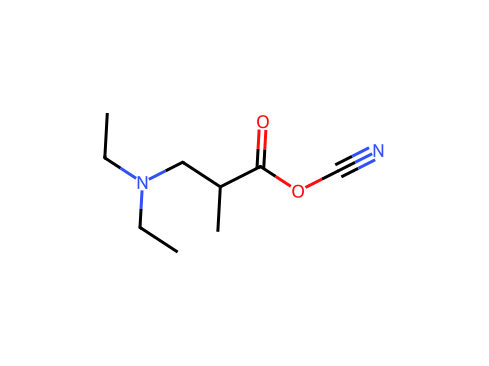 CCN(CC)CC(C)C(=O)OC#N